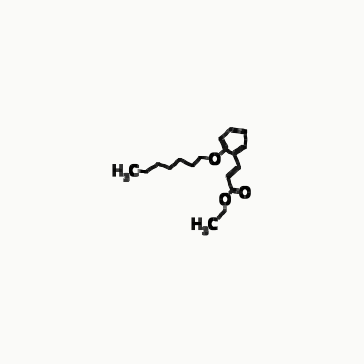 CCCCCCCOc1ccccc1/C=C/C(=O)OCC